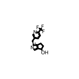 OC1CCc2c1cnn2Cc1ccc(C(F)(F)F)nc1